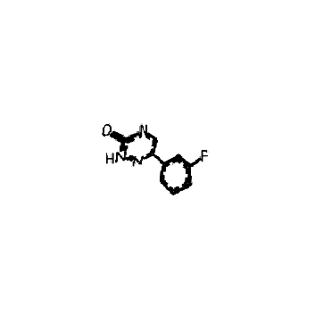 O=c1ncc(-c2cccc(F)c2)n[nH]1